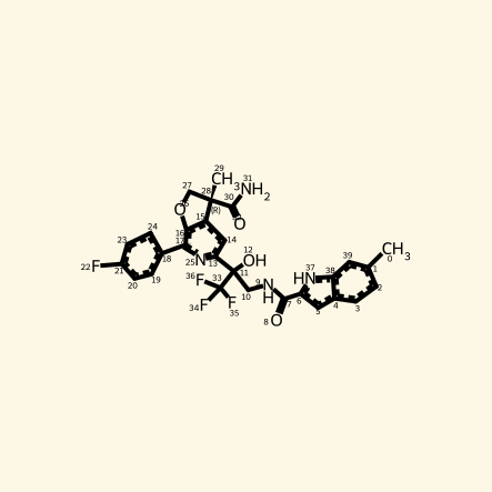 Cc1ccc2cc(C(=O)NCC(O)(c3cc4c(c(-c5ccc(F)cc5)n3)OC[C@]4(C)C(N)=O)C(F)(F)F)[nH]c2c1